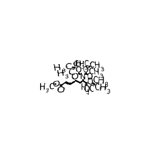 COC(=O)C=CCCC(C(=O)OC(C)(C)C)N(C(=O)OC(C)(C)C)C(=O)OC(C)(C)C